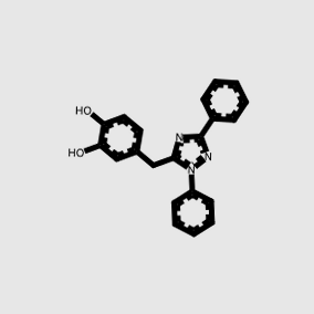 Oc1ccc(Cc2nc(-c3ccccc3)nn2-c2ccccc2)cc1O